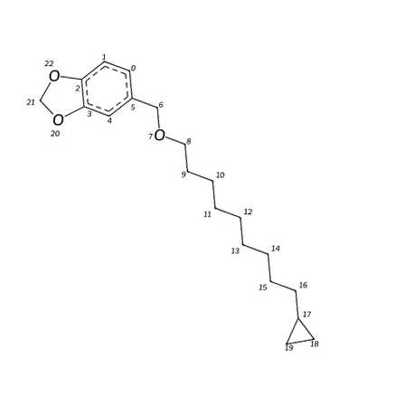 c1cc2c(cc1COCCCCCCCCCC1CC1)OCO2